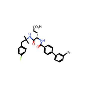 CC(C)c1cccc(-c2ccc(C(=O)N[C@@H](CCC(=O)O)C(=O)NC(C)(C)Cc3ccc(F)cc3)cc2)c1